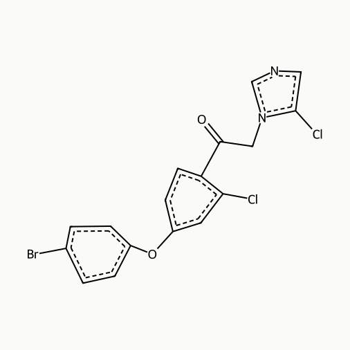 O=C(Cn1cncc1Cl)c1ccc(Oc2ccc(Br)cc2)cc1Cl